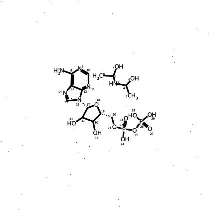 CC(O)NC(C)O.Nc1ncnc2c1ncn2[C@@H]1O[C@H](COP(=O)(O)OP(=O)(O)O)C(O)C1O